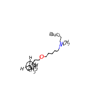 CC(C)COCCN(C)CCCCCOCC[C@@H]1CC[C@H]2C[C@H]1C2(C)C